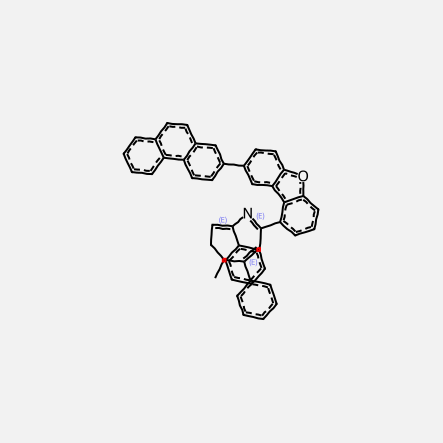 CC1C/C=C(c2ccccc2)/N=C(c2cccc3oc4ccc(-c5ccc6c(ccc7ccccc76)c5)cc4c23)\C=C/1c1ccccc1